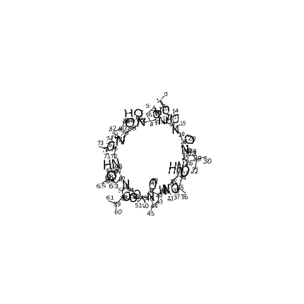 C/C=C/C[C@@H](C)[C@@H](O)[C@H]1C(=O)N[C@@H]([C@@H](C)O)C(=O)N(C)CC(=O)N(C)[C@](C=O)(CC(C)C)N[C@H](CC(C)C)C(=O)N(C)[C@H]2CC(C)N(C2=O)[C@](C)(C=O)OC(=O)N(CCC(C)C)C(CC(C)C)C(=O)N[C@H](CC(C)C)C(=O)N(C)[C@H](C(C)C)C(=O)N1C